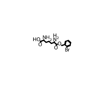 NC(CCC[C@H](N)C(=O)O)C(=O)OCc1ccccc1Br